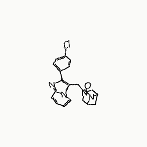 O=CN1C2CC1CN(Cc1c(-c3ccc(Cl)cc3)nc3ccccn13)C2